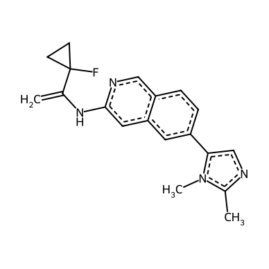 C=C(Nc1cc2cc(-c3cnc(C)n3C)ccc2cn1)C1(F)CC1